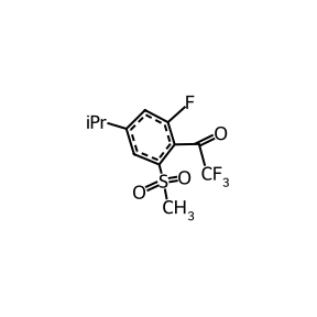 CC(C)c1cc(F)c(C(=O)C(F)(F)F)c(S(C)(=O)=O)c1